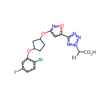 CCC(C(=O)O)n1nnc(-c2cc(OC3CCC(Oc4cc(F)ccc4Br)C3)no2)n1